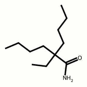 CCCCC(CC)(CCCC)C(N)=O